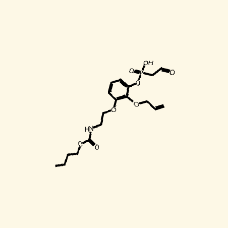 C=CCOc1c(OCCNC(=O)OCCCC)cccc1OP(=O)(O)CC=O